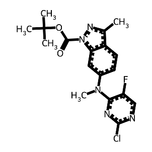 Cc1nn(C(=O)OC(C)(C)C)c2cc(N(C)c3nc(Cl)ncc3F)ccc12